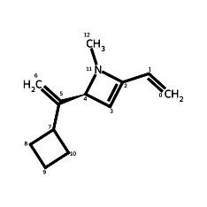 C=CC1=C[C@@H](C(=C)C2CCC2)N1C